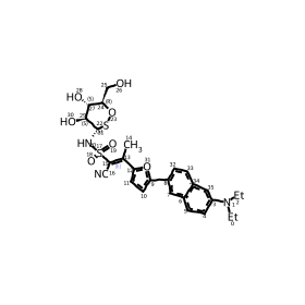 CCN(CC)c1ccc2cc(-c3ccc(/C(C)=C(\C#N)S(=O)(=O)N[C@H]4SO[C@H](CO)[C@@H](O)[C@@H]4O)o3)ccc2c1